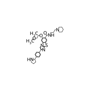 COC[C@H](C)Oc1cc2c(cc1C(=O)NCCCN1CCCCC1)sc1nc(-c3ccc(C4CCCN4)cc3)cn12